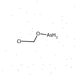 ClCO[AsH2]